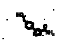 NC(=O)c1ccnc(N2CCN(CCO)CC2)c1